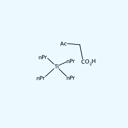 CC(=O)CC(=O)O.CC[CH2][Ti]([CH2]CC)([CH2]CC)[CH2]CC